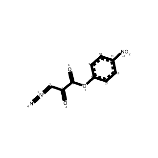 [N-]=[N+]=CC(=O)C(=O)Oc1ccc([N+](=O)[O-])cc1